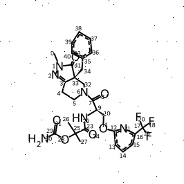 CN1N=C2CCN(C(=O)[C@@H](COc3cccc(C(F)(F)F)n3)NC(=O)C(C)(C)OC(N)=O)C[C@@]2(Cc2ccccc2)C1=O